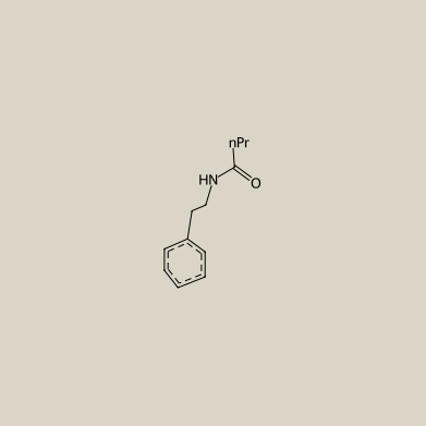 CCCC(=O)NCCc1ccccc1